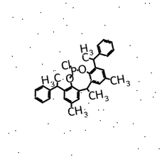 Cc1cc(C(C)c2ccccc2)c2c(c1)C(C)c1cc(C)cc(C(C)c3ccccc3)c1OP(Cl)O2